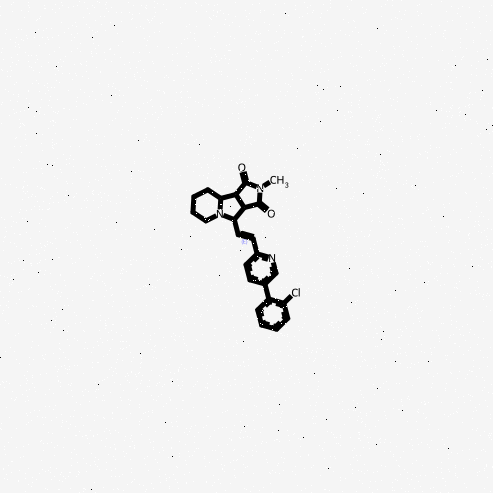 CN1C(=O)C2C(C1=O)C1CCCCN1C2/C=C/c1ccc(-c2ccccc2Cl)cn1